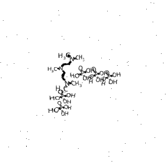 CN(C)CCN(C)CCN(C)C.O=P(O)(O)O.O=P(O)(O)O.O=P(O)(O)O.O=P(O)(O)O.O=P(O)(O)O